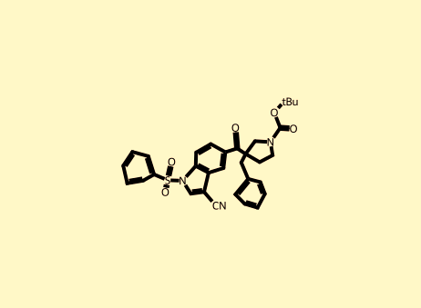 CC(C)(C)OC(=O)N1CCC(Cc2ccccc2)(C(=O)c2ccc3c(c2)c(C#N)cn3S(=O)(=O)c2ccccc2)C1